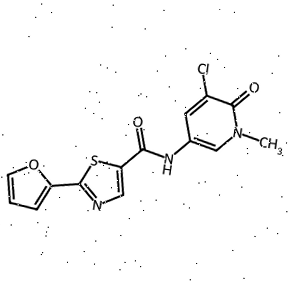 Cn1cc(NC(=O)c2cnc(-c3ccco3)s2)cc(Cl)c1=O